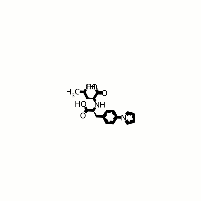 CC(C)C[C@H](N[C@@H](Cc1ccc(-n2cccc2)cc1)C(=O)O)C(=O)O